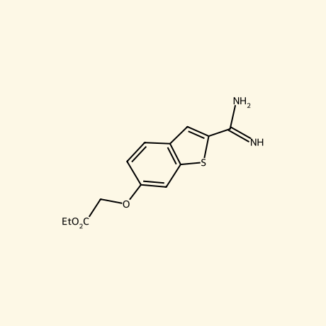 CCOC(=O)COc1ccc2cc(C(=N)N)sc2c1